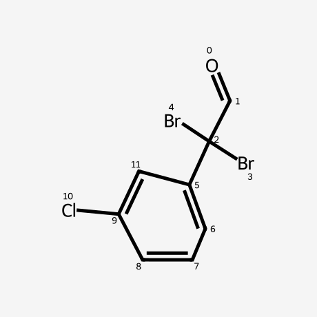 O=CC(Br)(Br)c1cccc(Cl)c1